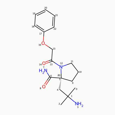 CC(C)(N)C[C@@]1(C(N)=O)CCCN1C(=O)COc1ccccc1